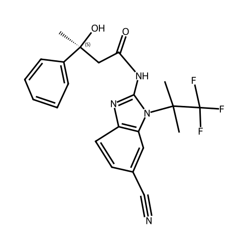 CC(C)(n1c(NC(=O)C[C@](C)(O)c2ccccc2)nc2ccc(C#N)cc21)C(F)(F)F